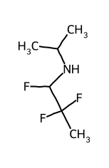 CC(C)NC(F)C(C)(F)F